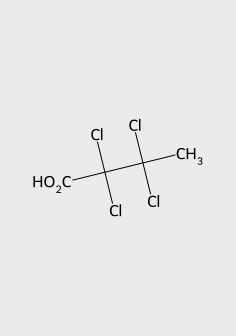 CC(Cl)(Cl)C(Cl)(Cl)C(=O)O